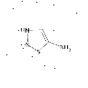 NC1=CN[N]S1